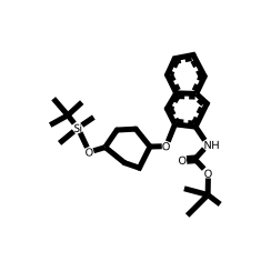 CC(C)(C)OC(=O)Nc1cc2ccccc2cc1OC1CCC(O[Si](C)(C)C(C)(C)C)CC1